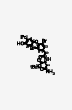 CC(C)c1cc(Oc2c(Br)cc(CC(=O)N[C@@H](CC(N)=O)C(=O)OC(C)(C)C)cc2Br)ccc1O